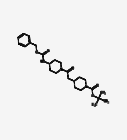 CC(C)(C)OC(=O)N1CCC(CC(=O)N2CCC(NC(=O)OCc3ccccc3)CC2)CC1